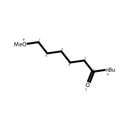 CCCCC(=O)CCCCCOC